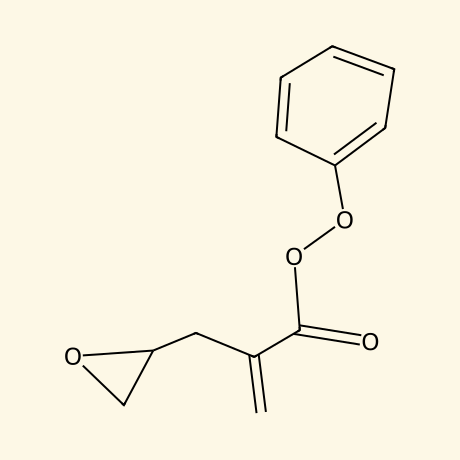 C=C(CC1CO1)C(=O)OOc1ccccc1